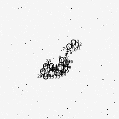 CO[C@H](C#CC(C)(C)OC1CCCCO1)[C@@H](C)[C@H]1CC[C@H]2[C@@H]3CC=C4C[C@@H](OC(C)=O)C[C@H](OC(C)=O)[C@]4(C)[C@H]3CC[C@]12C